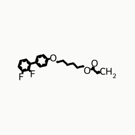 C=CC(=O)OCCCCCCOc1ccc(-c2cccc(F)c2F)cc1